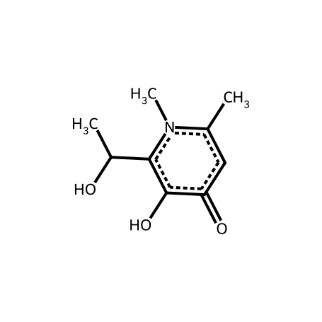 Cc1cc(=O)c(O)c(C(C)O)n1C